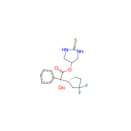 O=C(OC1CNC(=S)NC1)[C@](O)(c1ccccc1)[C@@H]1CCC(F)(F)C1